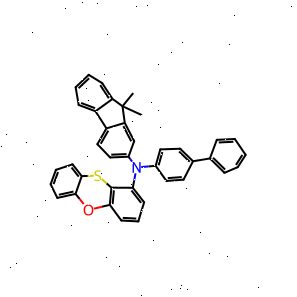 CC1(C)c2ccccc2-c2ccc(N(c3ccc(-c4ccccc4)cc3)c3cccc4c3Sc3ccccc3O4)cc21